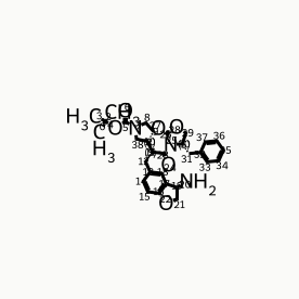 CC(C)(C)OC(=O)N1CC[C@H]([C@H](Cc2ccc3c(c2)C(N)CO3)C(=O)N2C(=O)OC[C@@H]2Cc2ccccc2)C1